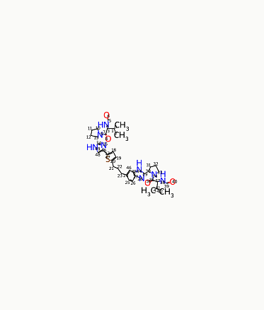 CC(C)[C@H](NC=O)C(=O)N1CCC[C@H]1c1nc(-c2ccc(CCCc3ccc4nc([C@@H]5CCCN5C(=O)[C@@H](NC=O)C(C)C)[nH]c4c3)s2)c[nH]1